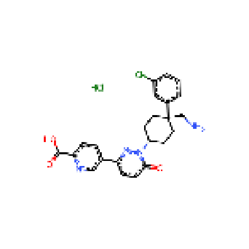 Cl.NC[C@]1(c2cccc(Cl)c2)CC[C@H](n2nc(-c3ccc(C(=O)O)nc3)ccc2=O)CC1